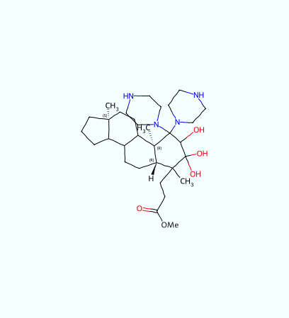 COC(=O)CCC1(C)[C@@H]2CCC3C4CCC[C@@]4(C)CCC3[C@@]2(C)C(N2CCNCC2)(N2CCNCC2)C(O)C1(O)O